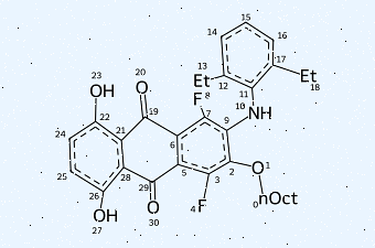 CCCCCCCCOc1c(F)c2c(c(F)c1Nc1c(CC)cccc1CC)C(=O)c1c(O)ccc(O)c1C2=O